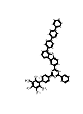 Bc1c(B)c(B)c(-c2ccc(-c3nc(-c4ccccc4)nc(-c4ccc5oc6c(-c7ccc(-c8ccc(-c9ccccc9)cc8)cc7)cccc6c5c4)n3)cc2)c(B)c1B